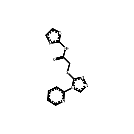 O=C(CSc1nncn1-c1ccccn1)Nc1nccs1